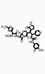 Nc1nc(C(=NO)C(=O)N[C@@H]2C(=O)N3C(C(=O)O)=C(C(=C4CCNC4=O)C(CC(=O)Nc4ccc(O)c(F)c4)c4ccncc4)CS[C@H]23)cs1